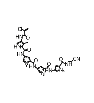 C=C(Cl)C(=O)Nc1c[nH]c(C(=O)Nc2cc(C(=O)Nc3cc(C(=O)Nc4cc(C(=O)NCCC#N)n(C)c4)n(C)c3)n(C)c2)c1C